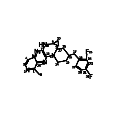 Cc1nccc2nc(NC3CC3)c(N3CCC(Cc4ccc(F)cc4F)CC3)nc12